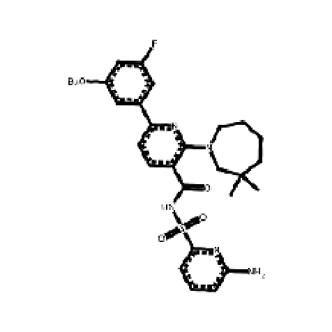 CC(C)COc1cc(F)cc(-c2ccc(C(=O)NS(=O)(=O)c3cccc(N)n3)c(N3CCCCC(C)(C)C3)n2)c1